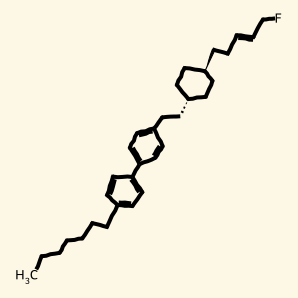 CCCCCCCc1ccc(-c2ccc(CC[C@H]3CC[C@H](CCC=CCF)CC3)cc2)cc1